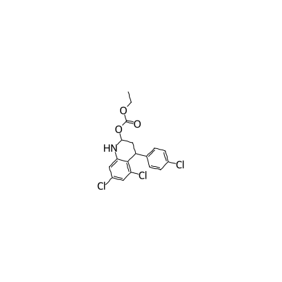 CCOC(=O)OC1CC(c2ccc(Cl)cc2)c2c(Cl)cc(Cl)cc2N1